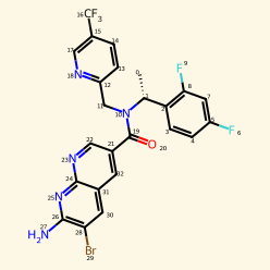 C[C@H](c1ccc(F)cc1F)N(Cc1ccc(C(F)(F)F)cn1)C(=O)c1cnc2nc(N)c(Br)cc2c1